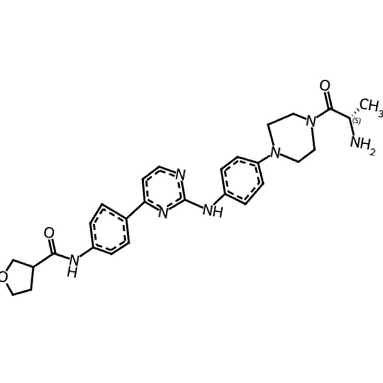 C[C@H](N)C(=O)N1CCN(c2ccc(Nc3nccc(-c4ccc(NC(=O)C5CCOC5)cc4)n3)cc2)CC1